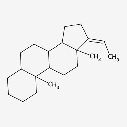 C/C=C1/CCC2C3CCC4CCCCC4(C)C3CCC12C